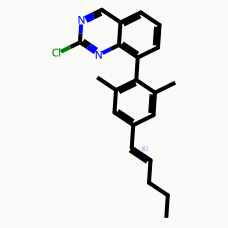 CCC/C=C/c1cc(C)c(-c2cccc3cnc(Cl)nc23)c(C)c1